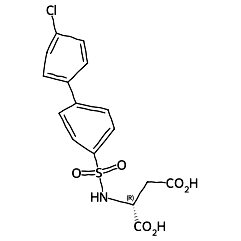 O=C(O)C[C@@H](NS(=O)(=O)c1ccc(-c2ccc(Cl)cc2)cc1)C(=O)O